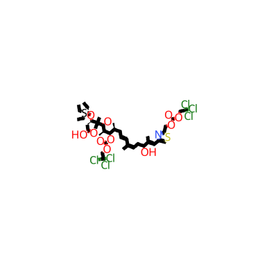 CC[Si](CC)(CC)O[C@@H](CC(=O)O)C(C)(C)C(=O)[C@H](C)[C@@H](OC(=O)OCC(Cl)(Cl)Cl)[C@@H](C)C/C=C/C(C)=C\C[C@H](O)/C(C)=C/c1csc(COC(=O)OCC(Cl)(Cl)Cl)n1